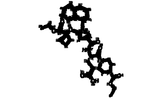 CCOC(=O)N1CCN(C(=O)[C@H](CCC(=O)O)NC(=O)c2cc(OC3(C(=O)OCC)CCC3)n(-c3cccc4ccccc34)n2)CC1